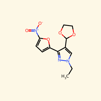 CCn1cc(C2OCCO2)c(-c2ccc([N+](=O)[O-])o2)n1